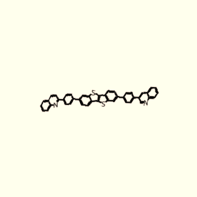 c1ccc2ncc(-c3ccc(-c4ccc5c(c4)sc4c6ccc(-c7ccc(-c8ccc9ccccc9n8)cc7)cc6sc54)cc3)cc2c1